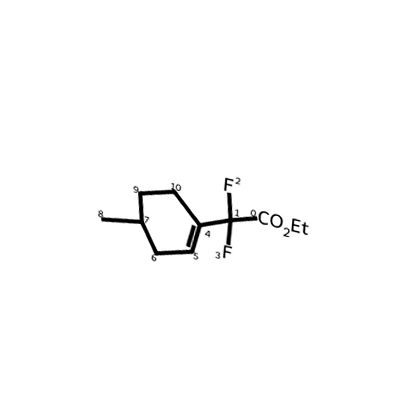 CCOC(=O)C(F)(F)C1=CCC(C)CC1